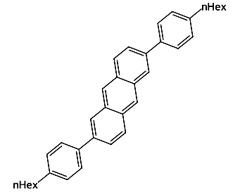 CCCCCCc1ccc(-c2ccc3cc4cc(-c5ccc(CCCCCC)cc5)ccc4cc3c2)cc1